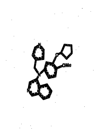 COc1ccc(N(Cc2ccncc2)c2cncc3ccccc23)cc1OC1CCCC1